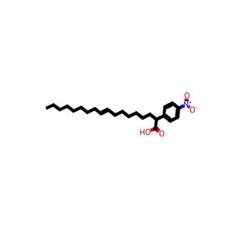 CCCCCCCC/C=C/CCCCCCC(C(=O)O)c1ccc([N+](=O)[O-])cc1